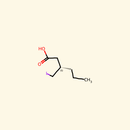 CCC[C@H](CI)CC(=O)O